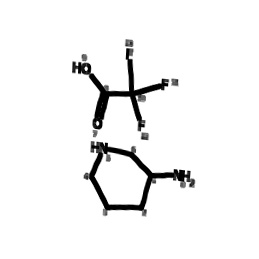 NC1CCCNC1.O=C(O)C(F)(F)F